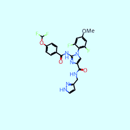 COc1cc(F)c(-n2cc(C(=O)NCc3cc[nH]n3)nc2NC(=O)c2ccc(OC(F)F)cc2)c(F)c1